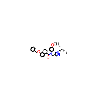 CCn1cc(CN(C(=O)C2CCCc3c(OCc4ccccc4)cccc32)c2ccc(OC)cc2)cn1